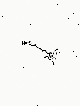 CCO[Si](CCCCCCCCSC#N)(OCC)OCC